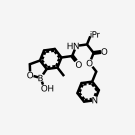 Cc1c(C(=O)NC(C(=O)OCc2cccnc2)C(C)C)ccc2c1B(O)OC2